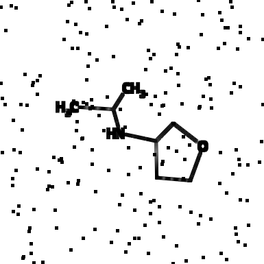 CC(C)NC1CCOC1